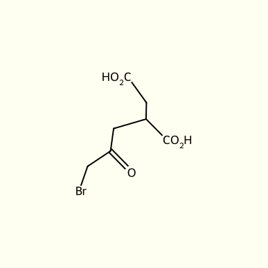 O=C(O)CC(CC(=O)CBr)C(=O)O